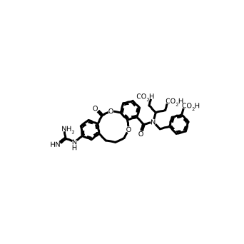 N=C(N)Nc1ccc2c(c1)CCCOc1c(cccc1C(=O)N(Cc1cccc(C(=O)O)c1)C(CC(=O)O)CC(=O)O)OC2=O